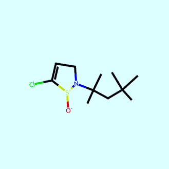 CC(C)(C)CC(C)(C)N1CC=C(Cl)[S+]1[O-]